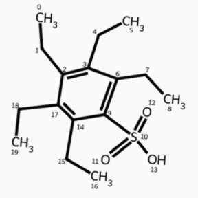 CCc1c(CC)c(CC)c(S(=O)(=O)O)c(CC)c1CC